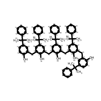 CC(C)(c1ccccc1)c1ccc(O)c(Cc2cc(C(C)(C)c3ccccc3)cc(Cc3cc(C(C)(C)c4ccccc4)cc(Cc4cc(C(C)(C)c5ccccc5)cc(Cc5cc(C(C)(C)c6ccccc6)ccc5O)c4O)c3O)c2O)c1